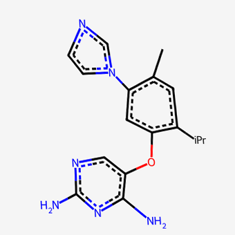 Cc1cc(C(C)C)c(Oc2cnc(N)nc2N)cc1-n1ccnc1